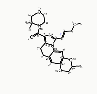 COC/C=C/c1nc(C(=O)N2CCOCC2(C)C)c2n1-c1cc3c(cc1CC2)OCC(C)O3